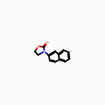 O=C1OCCN1c1ccc2ccccc2c1